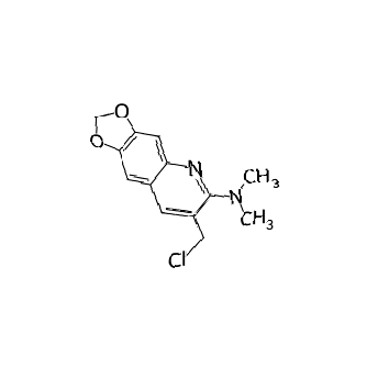 CN(C)c1nc2cc3c(cc2cc1CCl)OCO3